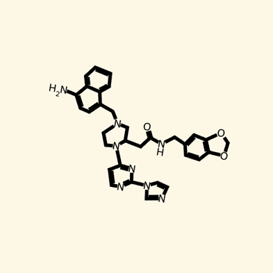 Nc1ccc(CN2CCN(c3ccnc(-n4ccnc4)n3)C(CC(=O)NCc3ccc4c(c3)OCO4)C2)c2ccccc12